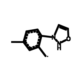 [CH2]c1cc(C)ccc1N1C=CON1